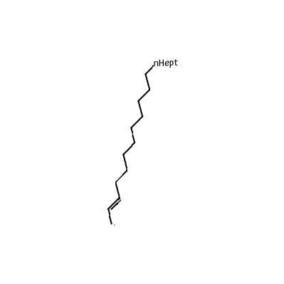 [CH2]/C=C/CCCCCCCCCCCCCCCC